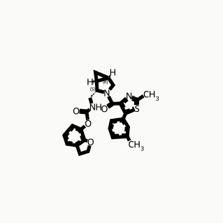 Cc1cccc(-c2sc(C)nc2C(=O)N2C[C@@H]3C[C@@H]3[C@H]2CNC(=O)Oc2cccc3c2OCC3)c1